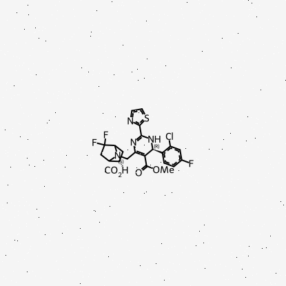 COC(=O)C1=C(CN2C3CC(F)(F)C2C[C@@H]3C(=O)O)N=C(c2nccs2)N[C@H]1c1ccc(F)cc1Cl